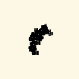 CC1(C)C2CCC1(C)C(OC(=O)C1CCCN1C(=O)C1(NC(=O)C(O)Cc3ccc(O)cc3)CC1)C2